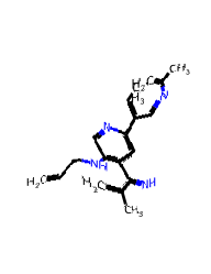 C=CCNc1cnc(C(/C=N\C(=C)C)=C/C)cc1C(=N)C(=C)C